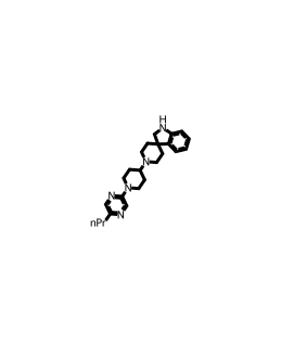 CCCc1cnc(N2CCC(N3CCC4(CC3)CNc3ccccc34)CC2)cn1